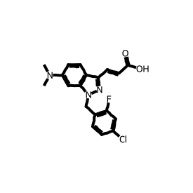 CN(C)c1ccc2c(C=CC(=O)O)nn(Cc3ccc(Cl)cc3F)c2c1